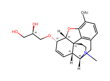 CC(=O)Oc1ccc2c3c1O[C@H]1[C@@H](OC[C@H](O)CO)C=C[C@H]4[C@@H](C2)N(C)CC[C@@]341